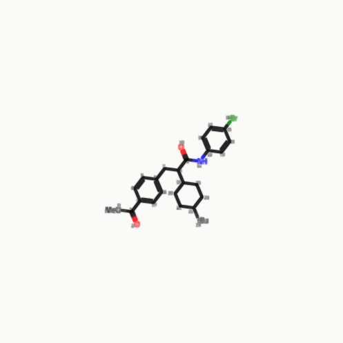 COC(=O)c1ccc(CC(C(=O)Nc2ccc(Br)cc2)C2CCC(C(C)(C)C)CC2)cc1